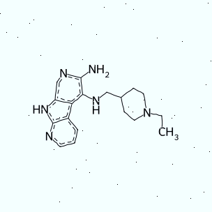 CCN1CCC(CNc2c(N)ncc3[nH]c4ncccc4c23)CC1